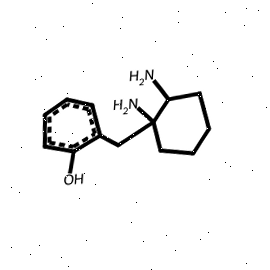 NC1CCCCC1(N)Cc1ccccc1O